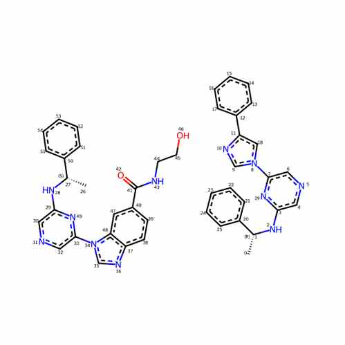 C[C@@H](Nc1cncc(-n2cnc(-c3ccccc3)c2)n1)c1ccccc1.C[C@H](Nc1cncc(-n2cnc3ccc(C(=O)NCCO)cc32)n1)c1ccccc1